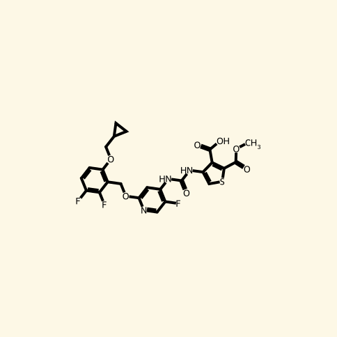 COC(=O)c1scc(NC(=O)Nc2cc(OCc3c(OCC4CC4)ccc(F)c3F)ncc2F)c1C(=O)O